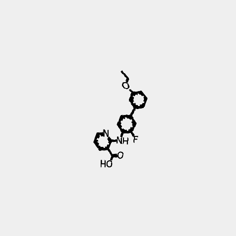 CCOc1cccc(-c2ccc(Nc3ncccc3C(=O)O)c(F)c2)c1